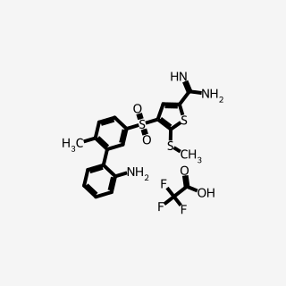 CSc1sc(C(=N)N)cc1S(=O)(=O)c1ccc(C)c(-c2ccccc2N)c1.O=C(O)C(F)(F)F